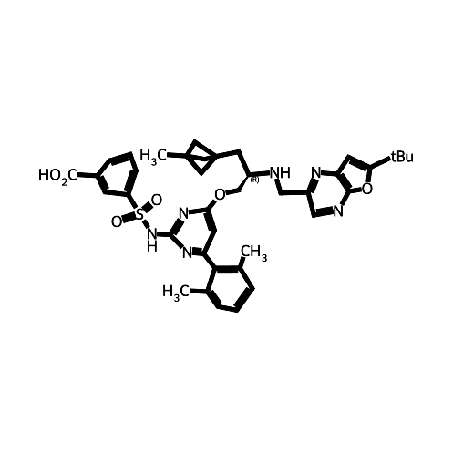 Cc1cccc(C)c1-c1cc(OC[C@@H](CC23CC(C)(C2)C3)NCc2cnc3oc(C(C)(C)C)cc3n2)nc(NS(=O)(=O)c2cccc(C(=O)O)c2)n1